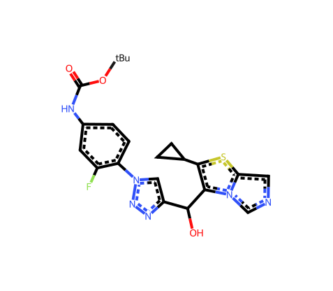 CC(C)(C)OC(=O)Nc1ccc(-n2cc(C(O)c3c(C4CC4)sc4cncn34)nn2)c(F)c1